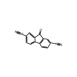 N#[N+]c1ccc2c(c1)C(=O)c1cc([N+]#N)ccc1-2